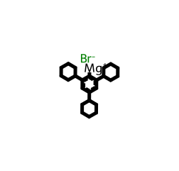 [Br-].[Mg+][c]1c(C2CCCCC2)cc(C2CCCCC2)cc1C1CCCCC1